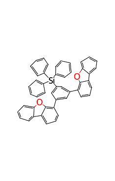 c1ccc([Si](c2ccccc2)(c2ccccc2)c2cc(-c3cccc4c3oc3ccccc34)cc(-c3cccc4c3oc3ccccc34)c2)cc1